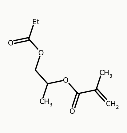 C=C(C)C(=O)OC(C)COC(=O)CC